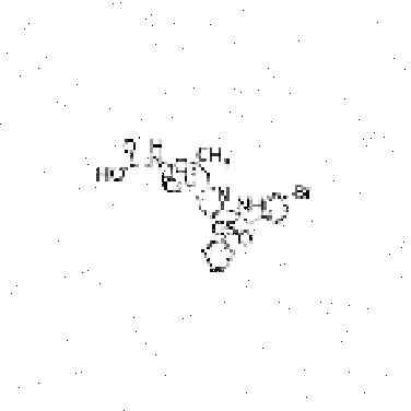 CC(C)(Cc1cccc(C(N)(Cc2ccc(Br)cc2)S(=O)(=O)c2cccnc2)n1)OC(=O)NCC(=O)O